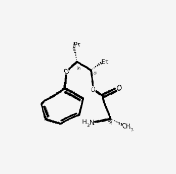 CC[C@H](OC(=O)[C@H](C)N)[C@H](Oc1ccccc1)C(C)C